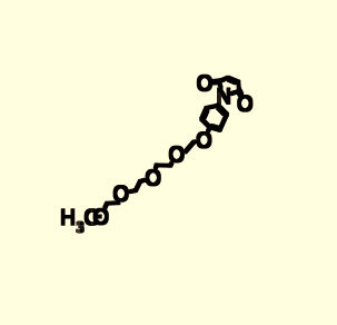 COCCOCCOCCOCCOc1ccc(N2C(=O)C=CC2=O)cc1